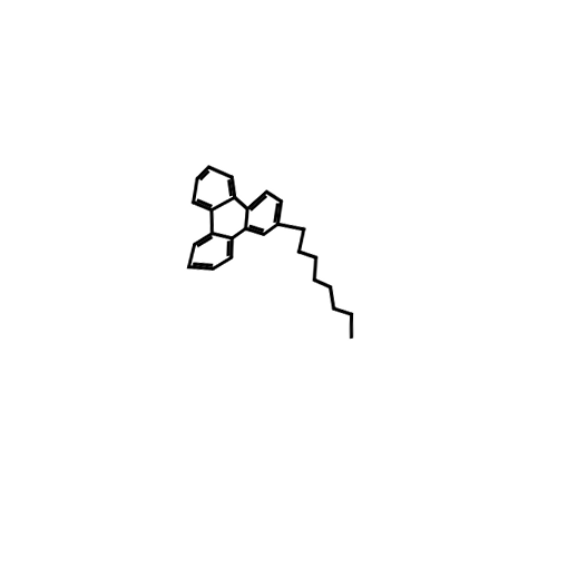 CCCCCCCCc1ccc2c3ccccc3c3ccccc3c2c1